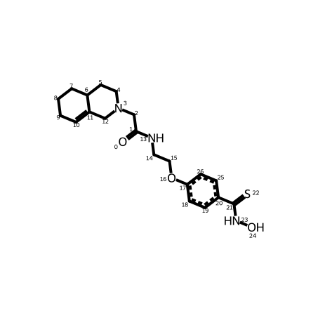 O=C(CN1CCC2CCCC=C2C1)NCCOc1ccc(C(=S)NO)cc1